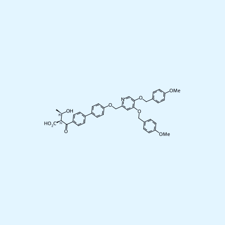 COc1ccc(COc2cnc(COc3ccc(-c4ccc(C(=O)[C@@H](C(=O)O)[C@@H](C)O)cc4)cc3)cc2OCc2ccc(OC)cc2)cc1